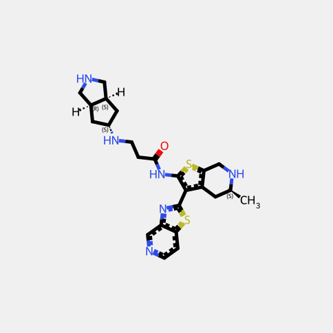 C[C@H]1Cc2c(sc(NC(=O)CCN[C@@H]3C[C@H]4CNC[C@H]4C3)c2-c2nc3cnccc3s2)CN1